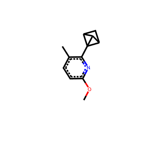 COc1ccc(C)c(C2C3CC2C3)n1